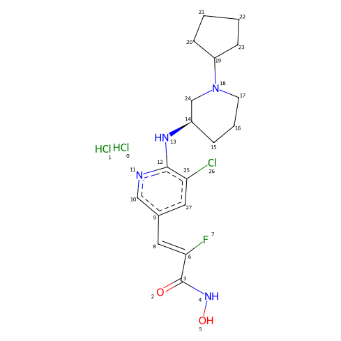 Cl.Cl.O=C(NO)/C(F)=C/c1cnc(N[C@@H]2CCCN(C3CCCC3)C2)c(Cl)c1